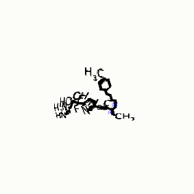 C/C=C(C#Cc1ccc(C(F)(F)C(C)(O)CN(N)C=N)nc1)\C=C/C(C)CCc1ccc(C)cc1